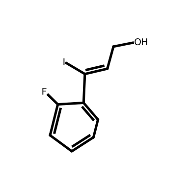 OC/C=C(\I)c1ccccc1F